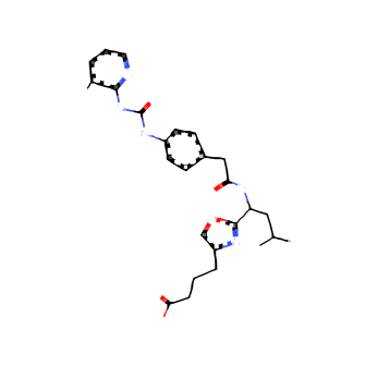 Cc1cccnc1NC(=O)Nc1ccc(CC(=O)NC(CC(C)C)c2nc(CCCC(=O)O)co2)cc1